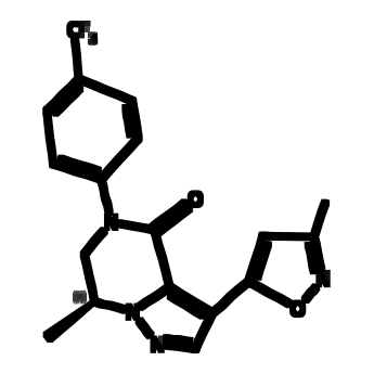 Cc1cc(-c2cnn3c2C(=O)N(c2ccc(C(F)(F)F)cc2)C[C@@H]3C)on1